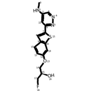 CNc1cnnc(-c2cc3ccc(OC[C@@H](O)CF)cc3s2)c1